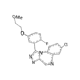 COCCOc1ccc(F)c(-c2nnc3cnc4cc(Cl)ccc4n23)c1